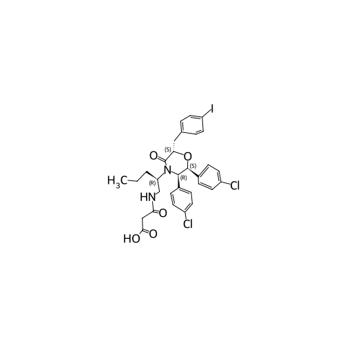 CCC[C@H](CNC(=O)CC(=O)O)N1C(=O)[C@H](Cc2ccc(I)cc2)O[C@@H](c2ccc(Cl)cc2)[C@H]1c1ccc(Cl)cc1